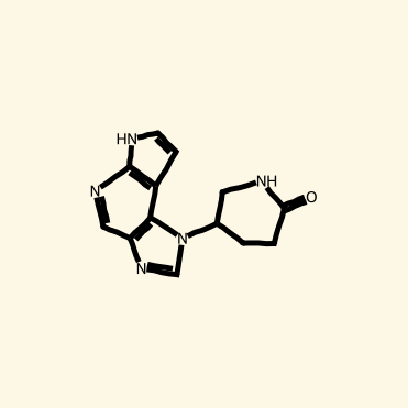 O=C1CCC(n2cnc3cnc4[nH]ccc4c32)CN1